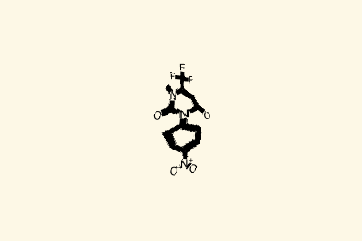 Cn1c(C(F)(F)F)cc(=O)n(-c2ccc([N+](=O)[O-])cc2)c1=O